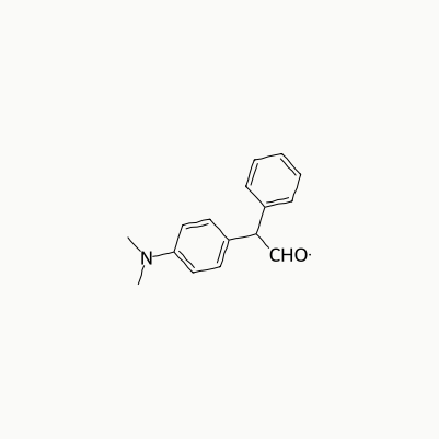 CN(C)c1ccc(C([C]=O)c2ccccc2)cc1